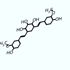 COC1CC(/C=C/C2CC(/C=C/C3CCC(O)C(OC)C3)C(O)C(O)C2O)CCC1O